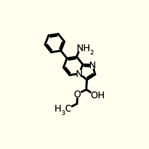 CCOC(O)c1cnc2c(N)c(-c3ccccc3)ccn12